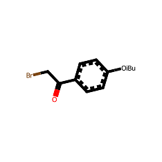 CC(C)COc1ccc(C(=O)CBr)cc1